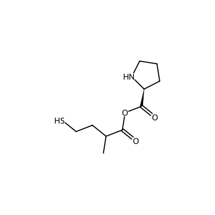 CC(CCS)C(=O)OC(=O)[C@@H]1CCCN1